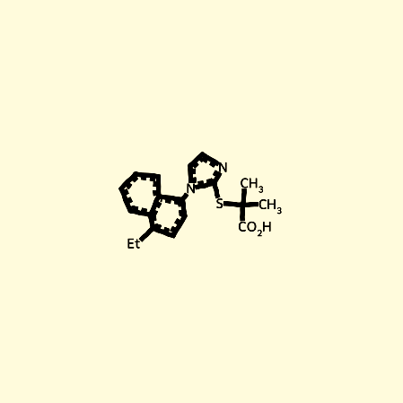 CCc1ccc(-n2ccnc2SC(C)(C)C(=O)O)c2ccccc12